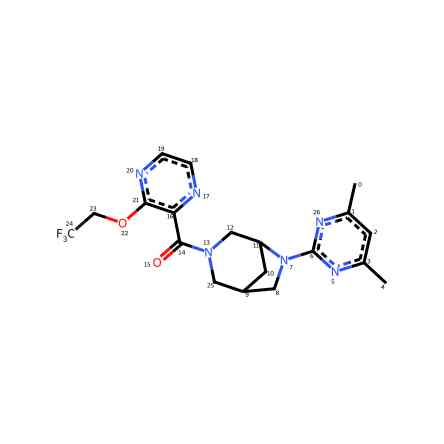 Cc1cc(C)nc(N2CC3CC2CN(C(=O)c2nccnc2OCC(F)(F)F)C3)n1